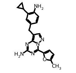 Cc1ccc(-c2nc(N)nc3c(Cc4ccc(N)c(C5CC5)c4)cnn23)o1